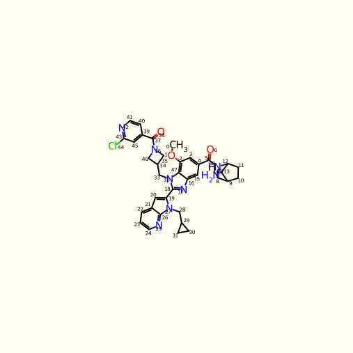 COc1cc(C(=O)N2CC3CCC2[C@@H]3N)cc2nc(-c3cc4cccnc4n3CC3CC3)n(CC3CN(C(=O)c4ccnc(Cl)c4)C3)c12